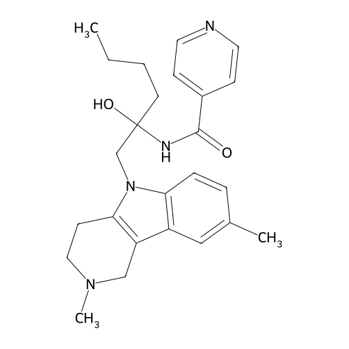 CCCCC(O)(Cn1c2c(c3cc(C)ccc31)CN(C)CC2)NC(=O)c1ccncc1